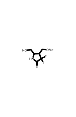 COCC1C(CO)NC(=O)C1(F)F